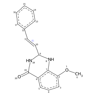 COc1cccc2c1NC(/C=C/c1ccccc1)NC2=O